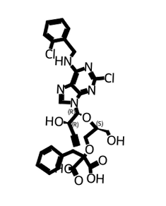 C#C[C@@H](O)[C@@H](O[C@@H](CO)COC(Cc1ccccc1)(C(=O)O)C(=O)O)n1cnc2c(NCc3ccccc3Cl)nc(Cl)nc21